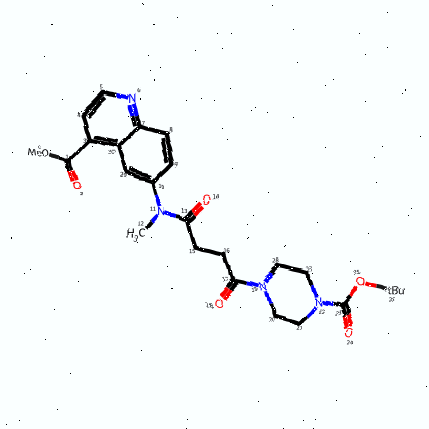 COC(=O)c1ccnc2ccc(N(C)C(=O)CCC(=O)N3CCN(C(=O)OC(C)(C)C)CC3)cc12